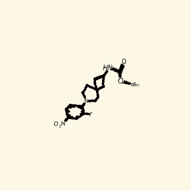 CC(C)(C)OC(=O)NC1CC2(CCN(c3ccc([N+](=O)[O-])cc3F)CC2)C1